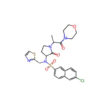 CC(C(=O)N1CCOCC1)N1CCC(N(Cc2nccs2)S(=O)(=O)c2ccc3cc(Cl)ccc3c2)C1=O